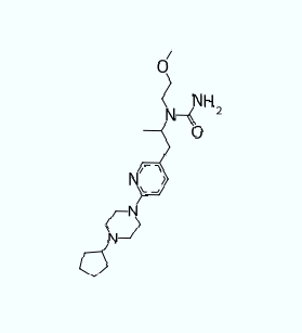 COCCN(C(N)=O)C(C)Cc1ccc(N2CCN(C3CCCC3)CC2)nc1